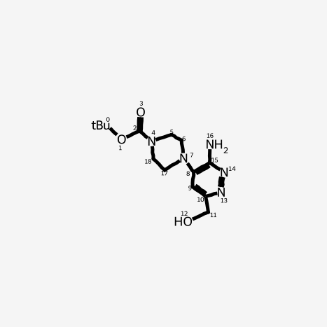 CC(C)(C)OC(=O)N1CCN(c2cc(CO)nnc2N)CC1